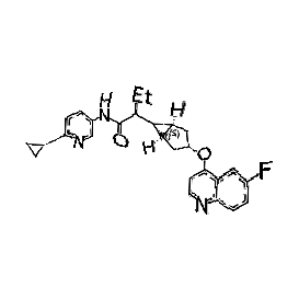 CCC(C(=O)Nc1ccc(C2CC2)nc1)C1[C@H]2CC(Oc3ccnc4ccc(F)cc34)C[C@@H]12